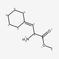 COC(=O)C(N)C=C1CCCCC1